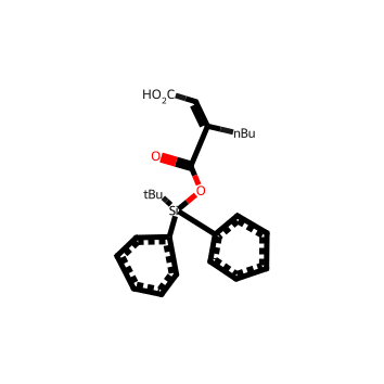 CCCC/C(=C/C(=O)O)C(=O)O[Si](c1ccccc1)(c1ccccc1)C(C)(C)C